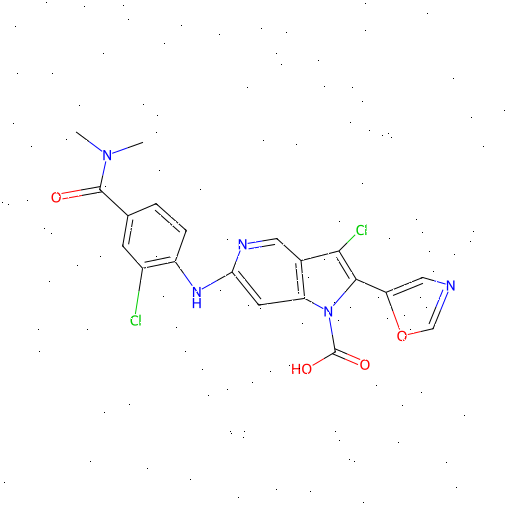 CN(C)C(=O)c1ccc(Nc2cc3c(cn2)c(Cl)c(-c2cnco2)n3C(=O)O)c(Cl)c1